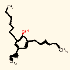 C=CCc1cc(CCCCCC)c(O)c(CCCCCC)c1